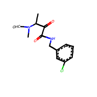 CC(C(=O)C(=O)NCc1cccc(Cl)c1)N(C)C=O